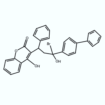 O=c1oc2ccccc2c(O)c1C(CC(O)(Br)c1ccc(-c2ccccc2)cc1)c1ccccc1